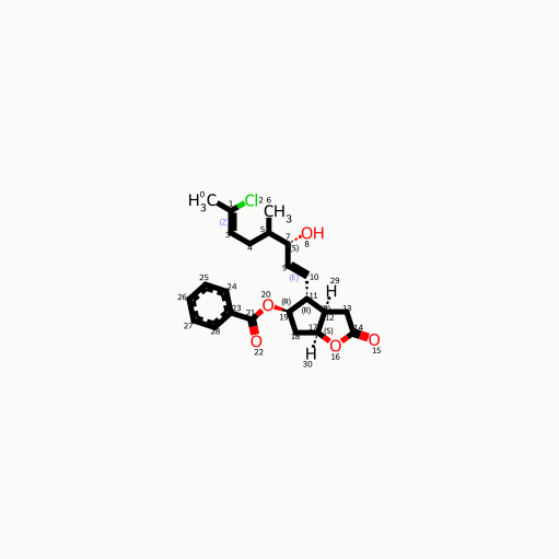 C/C(Cl)=C/CC(C)[C@H](O)/C=C/[C@@H]1[C@H]2CC(=O)O[C@H]2C[C@H]1OC(=O)c1ccccc1